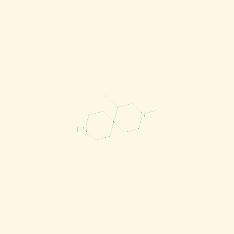 CN1CCC2(CCNCC2)C(F)C1